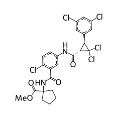 COC(=O)C1(NC(=O)c2cc(NC(=O)[C@@H]3[C@@H](c4cc(Cl)cc(Cl)c4)C3(Cl)Cl)ccc2Cl)CCCC1